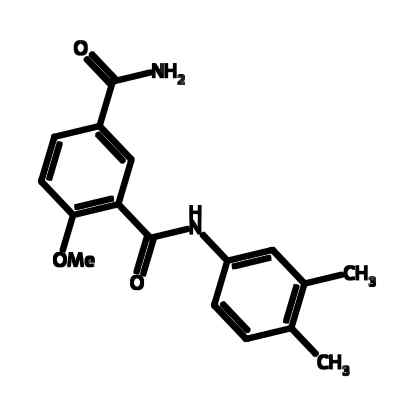 COc1ccc(C(N)=O)cc1C(=O)Nc1ccc(C)c(C)c1